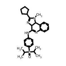 CC(C)P(=O)(c1ccc(NC2=Nc3ccccc3C3C2N=C(C2CCCC2)N3C)cc1)C(C)C